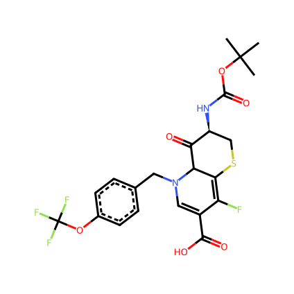 CC(C)(C)OC(=O)N[C@H]1CSC2=C(F)C(C(=O)O)=CN(Cc3ccc(OC(F)(F)F)cc3)C2C1=O